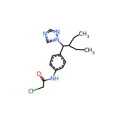 CCC(CC)C(c1ccc(NC(=O)CCl)cc1)n1cncn1